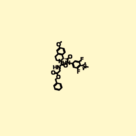 COc1ccc2c(c1)CCN(C(=O)NCC(=O)OCc1ccccc1)[C@H]2C(=O)Nc1cc(F)c([Si](C)(C)C)c(F)c1